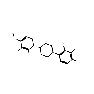 CCOC1=CC[C@@H](C2CCC(c3ccc(CC)c(F)c3F)CC2)C(F)=C1F